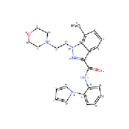 COc1cccc2c(C(=O)Nc3ccccc3-n3cccc3)nn(CCN3CCOCC3)c12